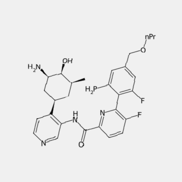 CCCOCc1cc(F)c(-c2nc(C(=O)Nc3cnccc3[C@H]3C[C@@H](N)[C@@H](O)[C@@H](C)C3)ccc2F)c(P)c1